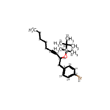 CCCCCC#CC(Cc1ccc(Br)cc1)O[Si](C)(C)C(C)(C)C